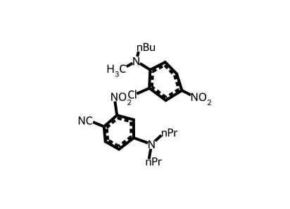 CCCCN(C)c1ccc([N+](=O)[O-])cc1Cl.CCCN(CCC)c1ccc(C#N)c([N+](=O)[O-])c1